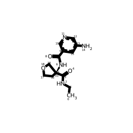 CCNC(=O)[C@]1(NC(=O)c2cncc(N)c2)CCOC1